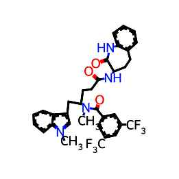 CN(C(=O)c1cc(C(F)(F)F)cc(C(F)(F)F)c1)C(CCC(=O)NC1CCc2ccccc2NC1=O)Cc1cn(C)c2ccccc12